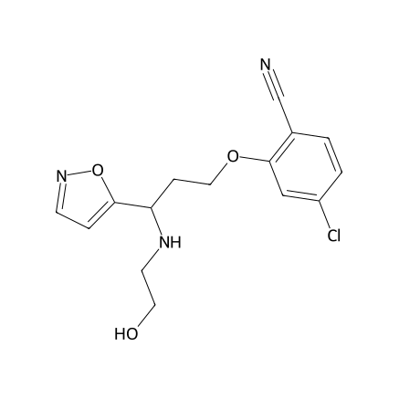 N#Cc1ccc(Cl)cc1OCCC(NCCO)c1ccno1